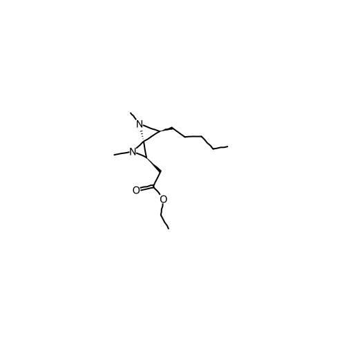 CCCCC[C@@H]1N(C)[C@@]12[C@@H](CC(=O)OCC)N2C